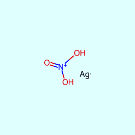 O=[N+](O)O.[Ag]